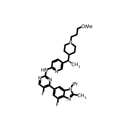 COCCCN1CCC([C@@H](C)c2ccc(Nc3ncc(F)c(-c4cc(F)c5nc(C)n(C(C)C)c5c4)n3)nc2)CC1